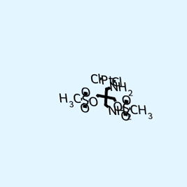 CS(=O)(=O)OCC(CN)(CN)COS(C)(=O)=O.[Cl][Pt][Cl]